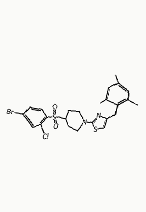 Cc1cc(C)c(Cc2csc(N3CCC(S(=O)(=O)c4ccc(Br)cc4Cl)CC3)n2)c(C)c1